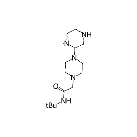 CC(C)(C)NC(=O)CN1CCN(C2CNCC[N]2)CC1